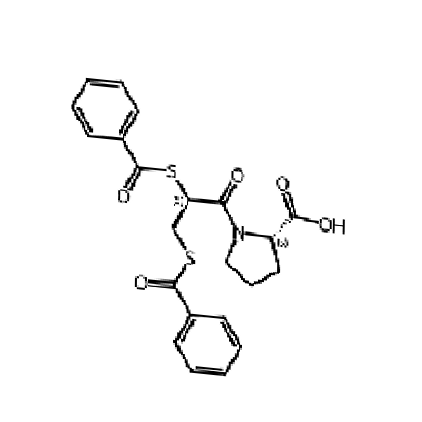 O=C(SC[C@@H](SC(=O)c1ccccc1)C(=O)N1CCC[C@H]1C(=O)O)c1ccccc1